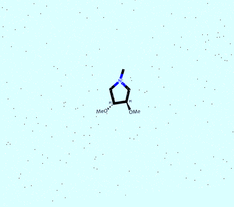 CO[C@@H]1CN(C)C[C@H]1OC